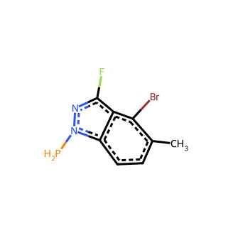 Cc1ccc2c(c(F)nn2P)c1Br